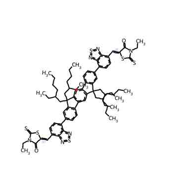 CCCCC(CC)CC1(CC(CC)CCCC)c2cc(-c3ccc(/C=C4\SC(=S)N(CC)C4=O)c4nsnc34)ccc2-c2cc3c(cc21)-c1ccc(-c2ccc(/C=C4\SC(=S)N(CC)C4=O)c4nsnc24)cc1C3(CC(CC)CCCC)CC(CC)CCCC